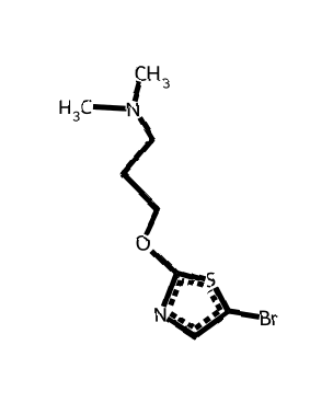 CN(C)CCCOc1ncc(Br)s1